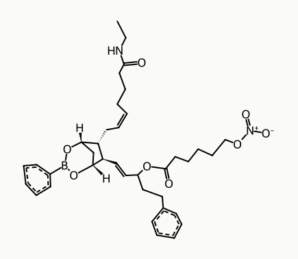 CCNC(=O)CCC/C=C\C[C@@H]1[C@@H](/C=C/C(CCc2ccccc2)OC(=O)CCCCCO[N+](=O)[O-])[C@H]2C[C@@H]1OB(c1ccccc1)O2